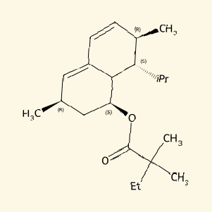 CCC(C)(C)C(=O)O[C@H]1C[C@@H](C)C=C2C=C[C@@H](C)[C@H](C(C)C)C21